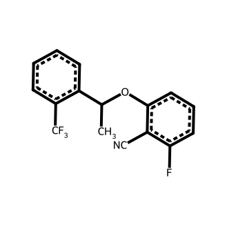 CC(Oc1cccc(F)c1C#N)c1ccccc1C(F)(F)F